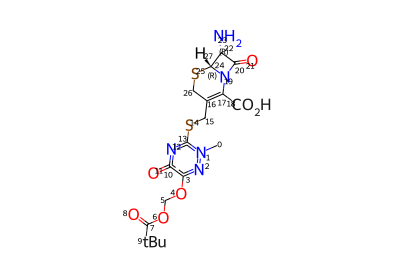 Cn1nc(OCOC(=O)C(C)(C)C)c(=O)nc1SCC1=C(C(=O)O)N2C(=O)[C@@H](N)[C@H]2SC1